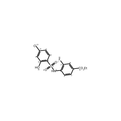 CCOC(=O)c1ccc(NS(=O)(=O)c2ccc(Cl)cc2O)c(F)c1